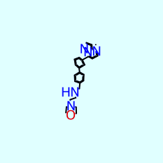 [c]1cnn2c(-c3cccc(-c4ccc(CNCCN5CCOCC5)cc4)c3)ccnc12